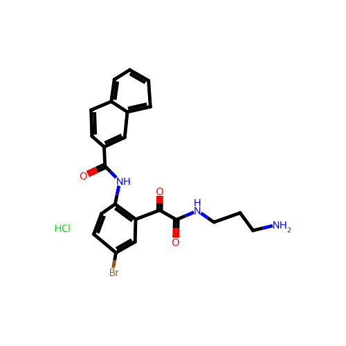 Cl.NCCCNC(=O)C(=O)c1cc(Br)ccc1NC(=O)c1ccc2ccccc2c1